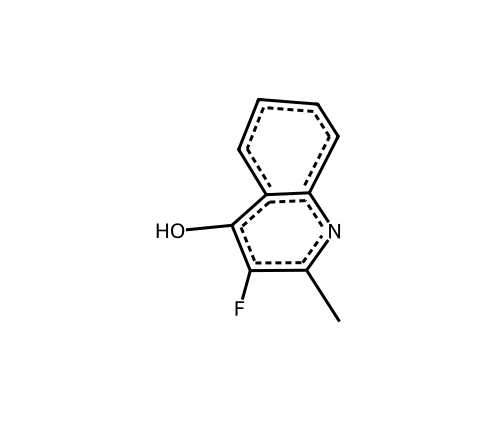 Cc1nc2ccccc2c(O)c1F